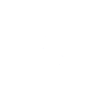 CCCOc1ccc(C)nc1C(=O)[C@@]1(Cc2cn3ccc(C)c(C)c3n2)CCCCN1